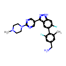 Cc1cc(CN)cc(F)c1-c1cc2c(-c3cnc(N4CCN(C)CC4)nc3)n[nH]c2cc1F